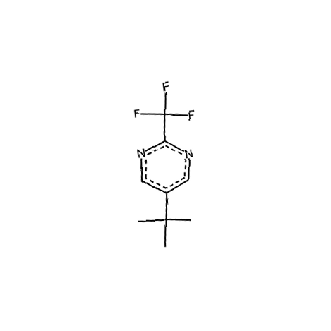 CC(C)(C)c1cnc(C(F)(F)F)nc1